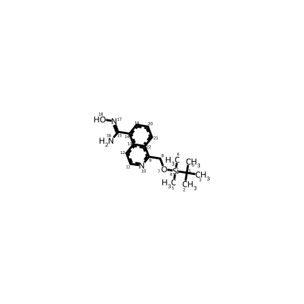 CC(C)(C)[Si](C)(C)OCc1nccc2c(/C(N)=N/O)cccc12